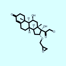 C[C@]12CCC(=O)C=C1CC[C@@H]1[C@@H]2[C@@H](O)C[C@@]2(C)[C@H]1C[C@@H](OCC1CO1)[C@]2(O)C(=O)CCl